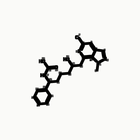 Cn1ncc2cc(Cl)nc(CC(O)CCCC(NC(=O)O)c3ccccc3)c21